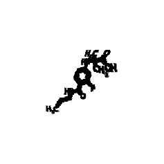 CCCNC(=O)c1ccc(NC(C)(C)C(=O)O)cc1F